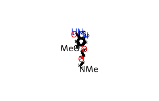 CNCCOCCOC1=CC2=NCNC(=O)C2C=C1OC